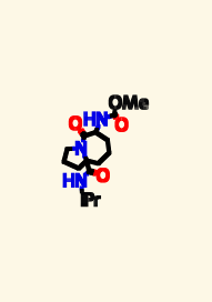 COC(=O)NC1CCCC2(C(=O)NC(C)C)CCCN2C1=O